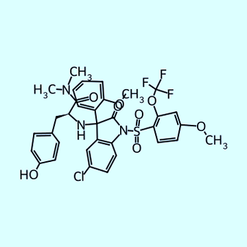 COc1ccc(S(=O)(=O)N2C(=O)C(N[C@@H](Cc3ccc(O)cc3)C(=O)N(C)C)(c3ccccc3OC)c3cc(Cl)ccc32)c(OC(F)(F)F)c1